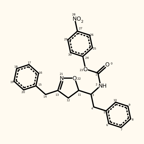 O=C(NC(Cc1ccccc1)C1CC(Cc2ccccc2)=NO1)Oc1ccc([N+](=O)[O-])cc1